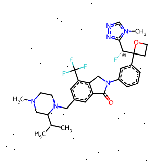 CC(C)C1CN(C)CCN1Cc1cc2c(c(C(F)(F)F)c1)CN(c1cccc(C3([C@H](F)c4nncn4C)CCO3)c1)C2=O